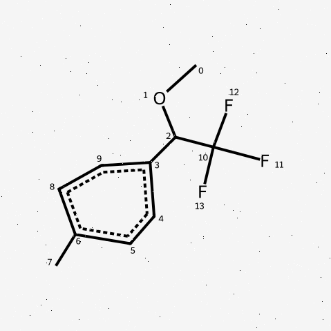 COC(c1ccc(C)cc1)C(F)(F)F